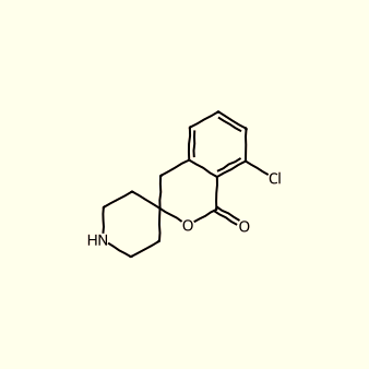 O=C1OC2(CCNCC2)Cc2cccc(Cl)c21